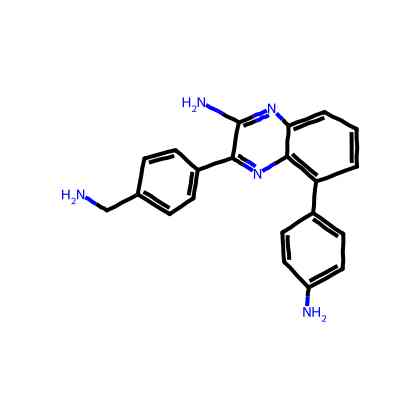 NCc1ccc(-c2nc3c(-c4ccc(N)cc4)cccc3nc2N)cc1